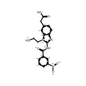 O=C(O)Cc1ccc2nc(NC(=O)c3cccc([N+](=O)[O-])c3)n(CCO)c2c1